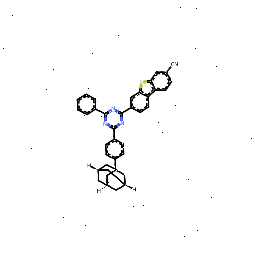 N#Cc1ccc2c(c1)sc1cc(-c3nc(-c4ccccc4)nc(-c4ccc(C56C[C@H]7C[C@@H](C5)C[C@@H](C6)C7)cc4)n3)ccc12